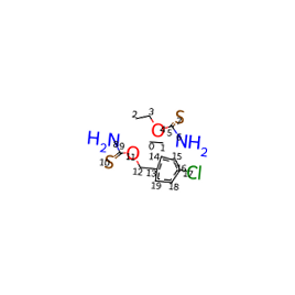 CC.CCOC(N)=S.NC(=S)OCc1ccc(Cl)cc1